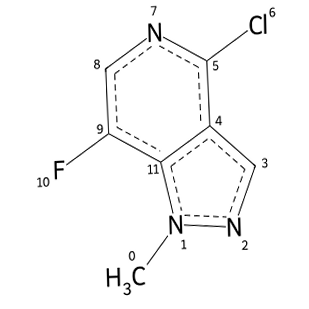 Cn1ncc2c(Cl)ncc(F)c21